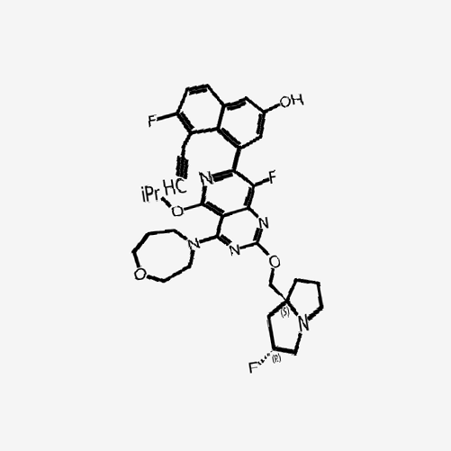 C#Cc1c(F)ccc2cc(O)cc(-c3nc(OC(C)C)c4c(N5CCCOCC5)nc(OC[C@@]56CCCN5C[C@H](F)C6)nc4c3F)c12